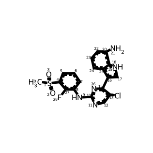 CS(=O)(=O)c1cccc(Nc2ncc(Cl)c(-c3c[nH]c4c(N)cccc34)n2)c1F